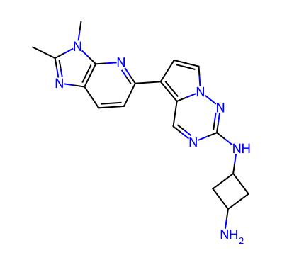 Cc1nc2ccc(-c3ccn4nc(NC5CC(N)C5)ncc34)nc2n1C